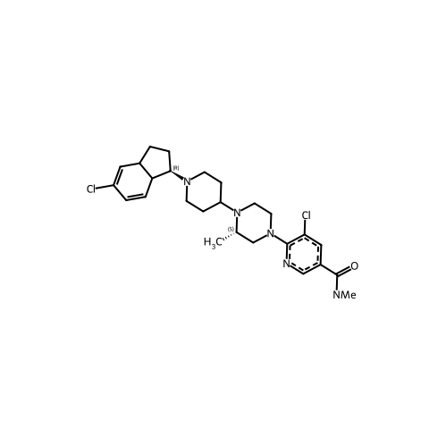 CNC(=O)c1cnc(N2CCN(C3CCN([C@@H]4CCC5C=C(Cl)C=CC54)CC3)[C@@H](C)C2)c(Cl)c1